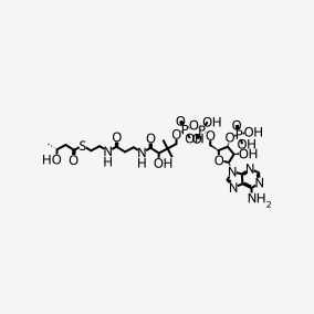 C[C@@H](O)CC(=O)SCCNC(=O)CCNC(=O)C(O)C(C)(C)COP(=O)(O)OP(=O)(O)OC[C@@H]1O[C@@H](n2cnc3c(N)ncnc32)[C@H](O)[C@H]1OP(=O)(O)O